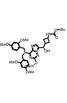 CCC[C@H](C)Oc1nc(N(Cc2ccc(OC)cc2OC)Cc2ccc(OC)cc2OC)c2ncc([C@H](O)C3CC(NC(=O)OC(C)(C)C)C3)n2n1